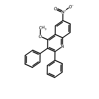 COc1c(-c2ccccc2)c(-c2ccccc2)nc2ccc([N+](=O)[O-])cc12